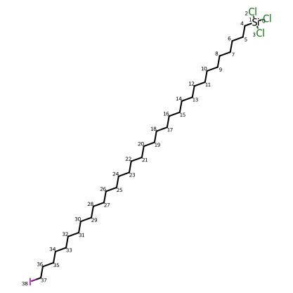 Cl[Si](Cl)(Cl)CCCCCCCCCCCCCCCCCCCCCCCCCCCCCCCCCCI